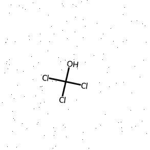 OC(Cl)(Cl)Cl